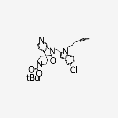 CC#CCCCn1c(CN2C(=O)C3(CCN(C(=O)OC(C)(C)C)CC3)c3ccncc32)cc2cc(Cl)ccc21